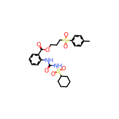 Cc1ccc(S(=O)(=O)CCCOC(=O)c2ccccc2NC(=O)NS(=O)(=O)C2CCCCC2)cc1